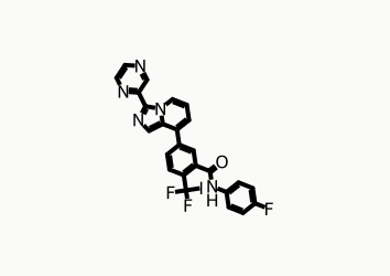 O=C(Nc1ccc(F)cc1)c1cc(-c2cccn3c(-c4cnccn4)ncc23)ccc1C(F)(F)I